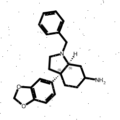 NC1CC[C@@]2(c3ccc4c(c3)OCO4)CCN(Cc3ccccc3)[C@H]2C1